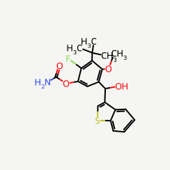 COc1c(C(O)c2csc3ccccc23)cc(OC(N)=O)c(F)c1C(C)(C)C